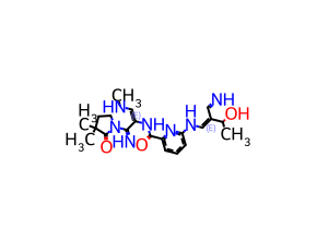 CN/C=C(/NC(=O)c1cccc(N/C=C(\C=N)C(C)O)n1)C(=N)N1CCC(C)(C)C1=O